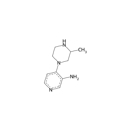 CC1CN(c2ccncc2N)CCN1